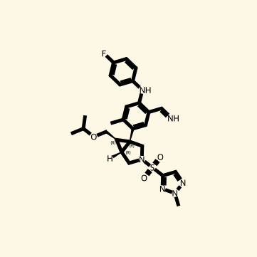 Cc1cc(Nc2ccc(F)cc2)c(C=N)cc1[C@@]12CN(S(=O)(=O)c3cnn(C)n3)C[C@@H]1[C@H]2COC(C)C